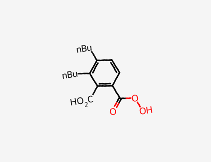 CCCCc1ccc(C(=O)OO)c(C(=O)O)c1CCCC